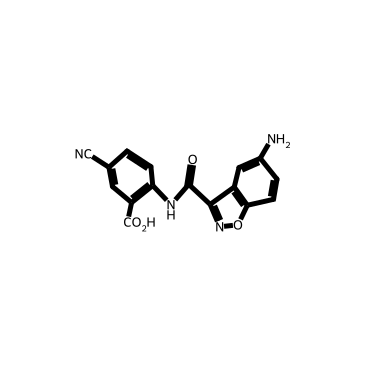 N#Cc1ccc(NC(=O)c2noc3ccc(N)cc23)c(C(=O)O)c1